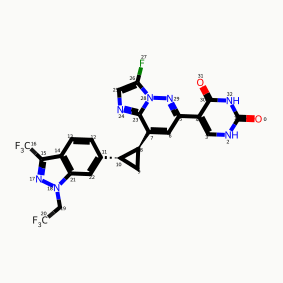 O=c1[nH]cc(-c2cc([C@H]3C[C@@H]3c3ccc4c(C(F)(F)F)nn(CC(F)(F)F)c4c3)c3ncc(F)n3n2)c(=O)[nH]1